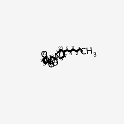 CCCCCCC1CCN(C(=O)CN2C(=O)C=CC2=O)CC1